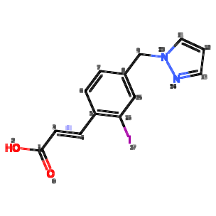 O=C(O)/C=C/c1ccc(Cn2cccn2)cc1I